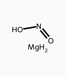 O=NO.[MgH2]